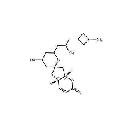 CC1CC(CC(O)CC2CC(O)CC3(C[C@@H]4OC(=O)C=C[C@@H]4O3)O2)C1